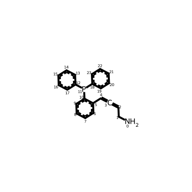 NCC=C=Cc1ccccc1P(c1ccccc1)c1ccccc1